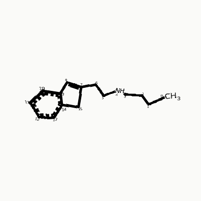 CCCCNCCC1=Cc2ccccc2C1